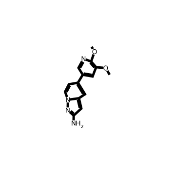 COc1cc(-c2ccn3nc(N)cc3c2)cnc1OC